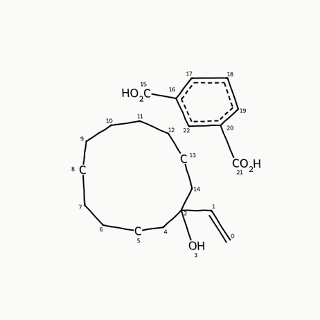 C=CC1(O)CCCCCCCCCCC1.O=C(O)c1cccc(C(=O)O)c1